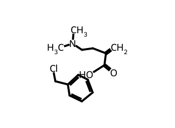 C=C(CCN(C)C)C(=O)O.ClCc1ccccc1